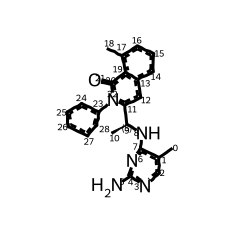 Cc1cnc(N)nc1N[C@@H](C)c1cc2cccc(C)c2c(=O)n1-c1ccccc1